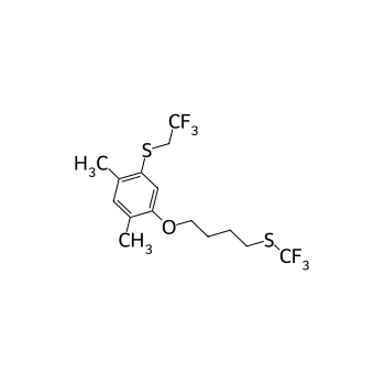 Cc1cc(C)c(SCC(F)(F)F)cc1OCCCCSC(F)(F)F